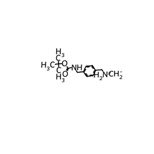 [CH2-][NH2+]Cc1ccc(CNC(=O)OC(C)(C)C)cc1